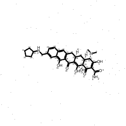 CN(C)[C@@H]1C(O)=C(C(N)=O)C(=O)[C@@]2(O)C(O)=C3C(=O)c4c(cc5ccc(CNC6CCCC6)cc5c4O)C[C@H]3C[C@@H]12